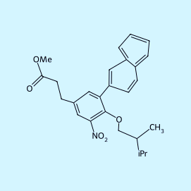 COC(=O)CCc1cc(-c2ccc3ccccc3c2)c(OCC(C)C(C)C)c([N+](=O)[O-])c1